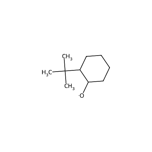 CC(C)(C)C1CCCCC1[O]